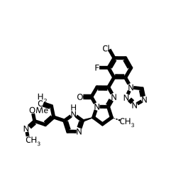 C=C/C(=C\C(=N/C)OC)c1cnc([C@@H]2C[C@@H](C)c3nc(-c4c(-n5cnnn5)ccc(Cl)c4F)cc(=O)n32)[nH]1